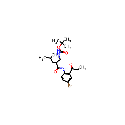 CCC(=O)c1cc(Br)ccc1NC(=O)C(CNC(=O)OC(C)(C)C)CC(C)C